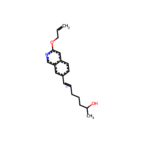 C=CCOc1cc2ccc(/C=C/CCCC(C)O)cc2cn1